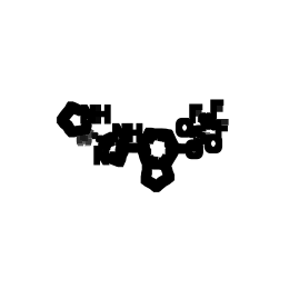 O=S(=O)(Oc1ccc(-c2cnc([C@@H]3CCCN3)[nH]2)c2c1CCC2)C(F)(F)F